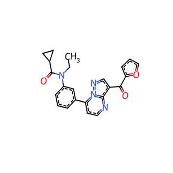 CCN(C(=O)C1CC1)c1cccc(-c2ccnc3c(C(=O)c4ccco4)cnn23)c1